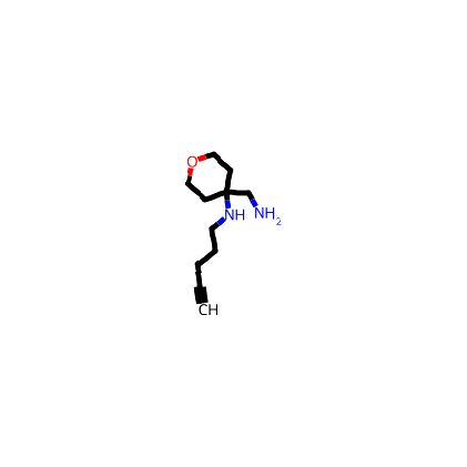 C#CCCCNC1(CN)CCOCC1